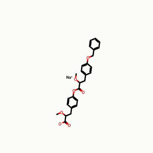 COC(Cc1ccc(OC(=O)C(Cc2ccc(OCc3ccccc3)cc2)OC)cc1)C(=O)[O-].[Na+]